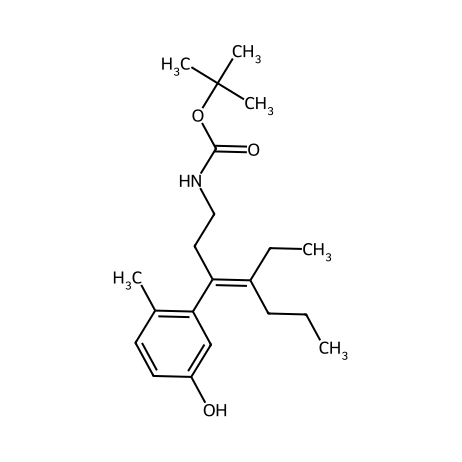 CCC/C(CC)=C(/CCNC(=O)OC(C)(C)C)c1cc(O)ccc1C